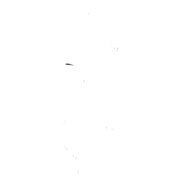 Cc1cncc([C@H](C)N2CCc3c(cc(CBr)cc3-c3cn(C)nc3C(F)(F)F)C2=O)c1